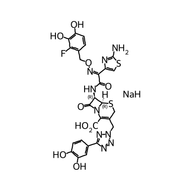 Nc1nc(C(=NOCc2ccc(O)c(O)c2F)C(=O)N[C@@H]2C(=O)N3C(C(=O)O)=C(Cn4nnc(-c5ccc(O)c(O)c5)n4)CS[C@H]23)cs1.[NaH]